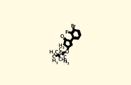 CC(C)(C)[Si](C)(C)OC1C=C(c2cccc(Br)c2F)C(=O)C1